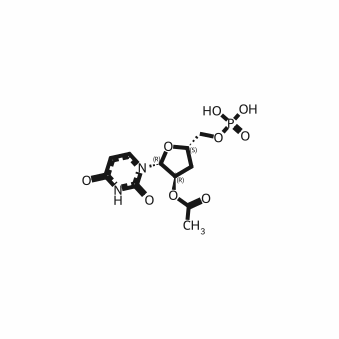 CC(=O)O[C@@H]1C[C@@H](COP(=O)(O)O)O[C@H]1n1ccc(=O)[nH]c1=O